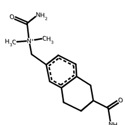 C[N+](C)(Cc1ccc2c(c1)CCC(C(N)=O)C2)C(N)=O